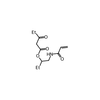 C=CC(=O)NCC(CC)OC(=O)CC(=O)CC